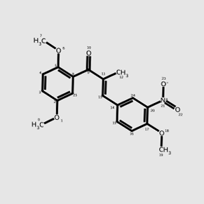 COc1ccc(OC)c(C(=O)C(C)=Cc2ccc(OC)c([N+](=O)[O-])c2)c1